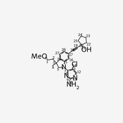 COCCC1(C)CN(c2nc(N)ncc2Cl)c2cc(C#CC3(O)CCCC3)ccc21